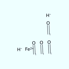 [C]=O.[C]=O.[C]=O.[C]=O.[Fe+2].[H-].[H-]